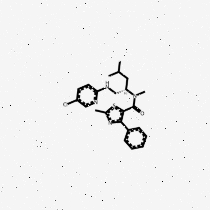 Cc1nc(-c2ccccc2)c(C(=O)N(C)[C@H](CNc2ccc(Cl)cn2)CC(C)C)s1